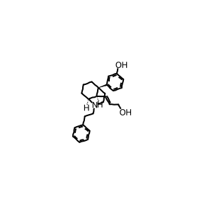 OC/C=C/[C@H]1[C@@H]2CCC[C@]1(c1cccc(O)c1)CCN2CCc1ccccc1